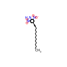 CCCCCCCCCCCCCC#Cc1cc([N+](=O)[O-])c(N)c([N+](=O)[O-])c1